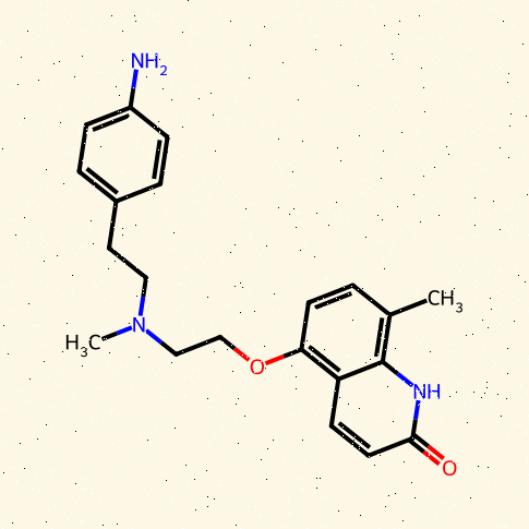 Cc1ccc(OCCN(C)CCc2ccc(N)cc2)c2ccc(=O)[nH]c12